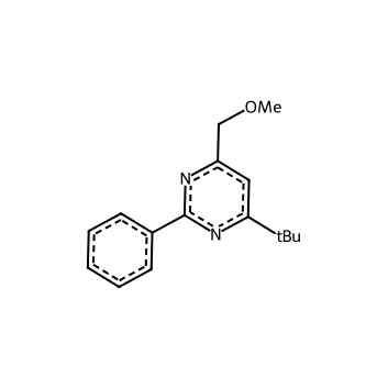 COCc1cc(C(C)(C)C)nc(-c2ccccc2)n1